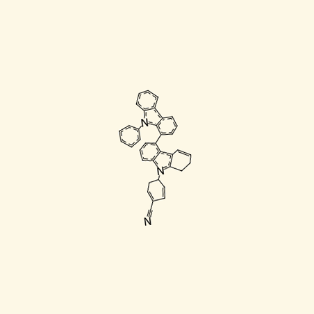 N#CC1=CCC(n2c3c(c4c(-c5cccc6c7ccccc7n(-c7ccccc7)c56)cccc42)C=CCC3)C=C1